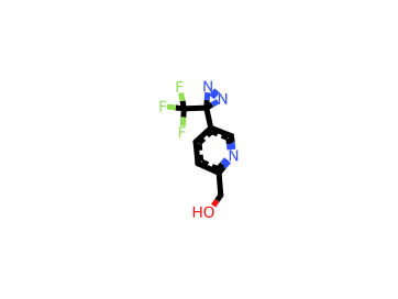 OCc1ccc(C2(C(F)(F)F)N=N2)cn1